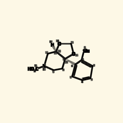 CC(C)(C)c1ccccc1[C@]12CCN(C(=O)O)C[C@H]1OCO2